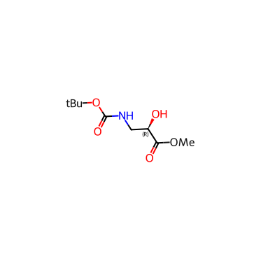 COC(=O)[C@H](O)CNC(=O)OC(C)(C)C